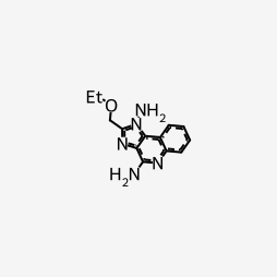 CCOCc1nc2c(N)nc3ccccc3c2n1N